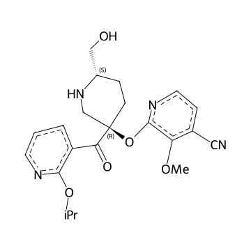 COc1c(C#N)ccnc1O[C@]1(C(=O)c2cccnc2OC(C)C)CC[C@@H](CO)NC1